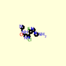 N[C@@H]1CCCN(c2ccnc3c(F)cc(-c4cn(Cl)c5ncc(C(=O)NCc6cccnc6)cc45)cc23)C1